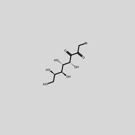 O=C(CBr)C(=O)[C@H](O)[C@@H](O)[C@@H](O)[C@H](O)CO